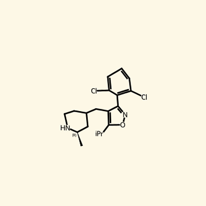 CC(C)c1onc(-c2c(Cl)cccc2Cl)c1CC1CCN[C@H](C)C1